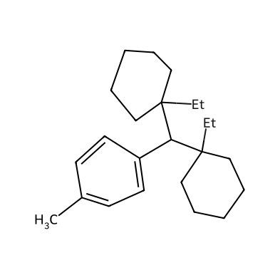 CCC1(C(c2ccc(C)cc2)C2(CC)CCCCC2)CCCCC1